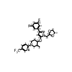 CC1CN(c2ccc(C(F)(F)F)cn2)CCC1Oc1cc(-c2cc(F)cc(F)c2)nn1CC1OCCO1